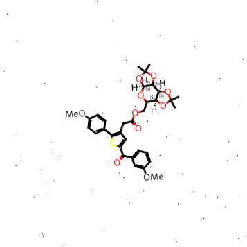 COc1ccc(-c2sc(C(=O)c3cccc(OC)c3)cc2CC(=O)OCC2O[C@H]3OC(C)(C)O[C@H]3[C@H]3OC(C)(C)O[C@@H]23)cc1